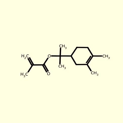 C=C(C)C(=O)OC(C)(C)C1CCC(C)=C(C)C1